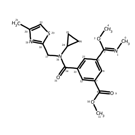 C/N=C(\OC)c1cc(C(=O)OC)cc(C(=O)N(Cc2nc(C)cs2)C2CC2)c1